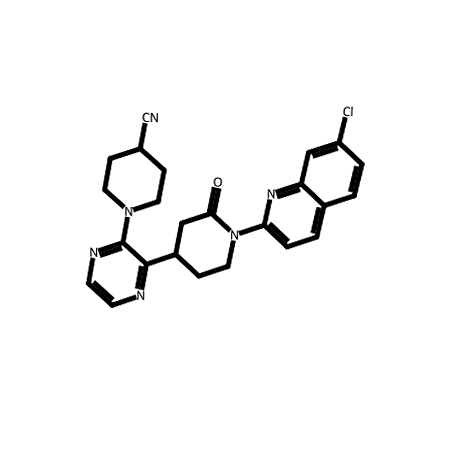 N#CC1CCN(c2nccnc2C2CCN(c3ccc4ccc(Cl)cc4n3)C(=O)C2)CC1